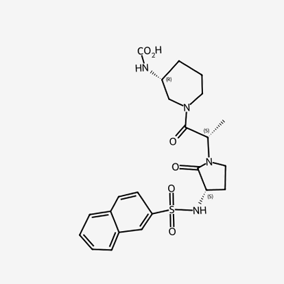 C[C@@H](C(=O)N1CCC[C@@H](NC(=O)O)C1)N1CC[C@H](NS(=O)(=O)c2ccc3ccccc3c2)C1=O